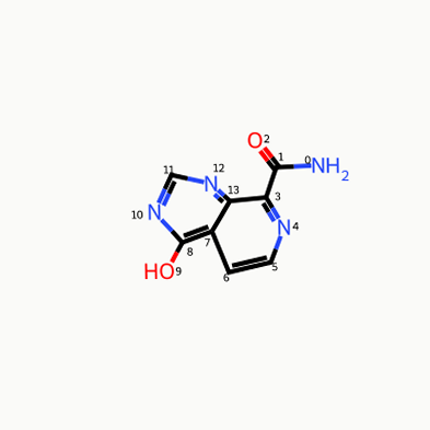 NC(=O)c1nccc2c(O)ncnc12